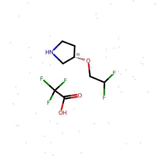 FC(F)CO[C@H]1CCNC1.O=C(O)C(F)(F)F